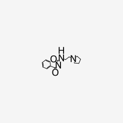 O=c1nc(NCCN2CCCC2)oc2ccccc12